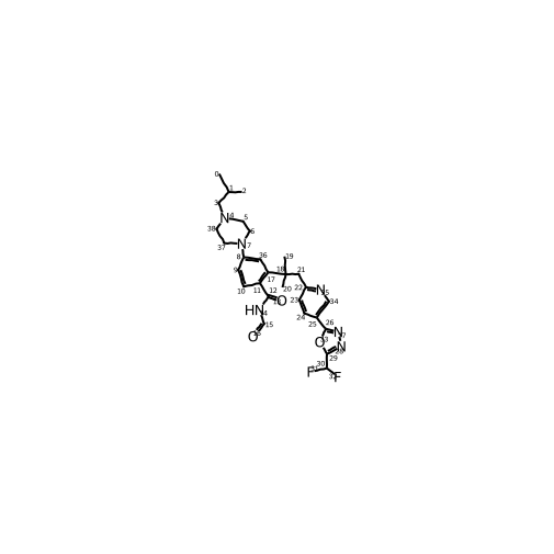 CC(C)CN1CCN(c2ccc(C(=O)NC=O)c(C(C)(C)Cc3ccc(-c4nnc(C(F)F)o4)cn3)c2)CC1